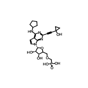 O=P(O)(O)COCC1O[C@@H](n2ccc3c(NC4CCCC4)nc(C#CC4(O)CC4)nc32)[C@H](O)[C@@H]1O